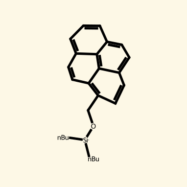 CCCC[Si](CCCC)OCc1ccc2ccc3cccc4ccc1c2c34